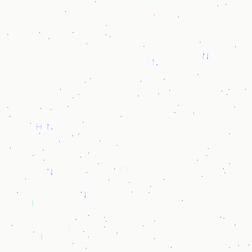 CC(N)C(=O)N1CCC(CCc2c(N)nc(C(F)(F)F)nc2Cl)CC1